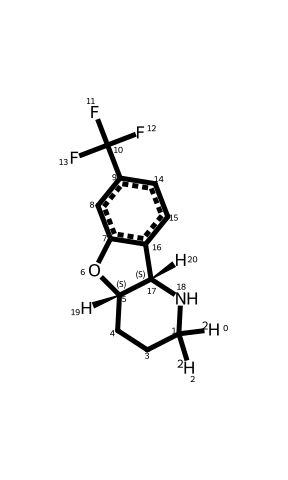 [2H]C1([2H])CC[C@@H]2Oc3cc(C(F)(F)F)ccc3[C@@H]2N1